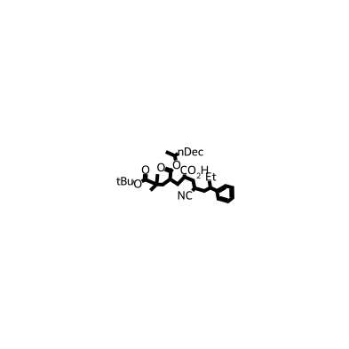 CCCCCCCCCCC(C)OC(=O)C(CC(CC(C#N)CC(CC)c1ccccc1)C(=O)O)CC(C)(C)C(=O)OC(C)(C)C